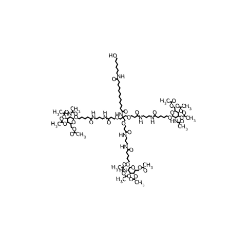 CC(=O)N[C@H]1C(OC(C)=O)[C@@H](OC(C)=O)C(COC(C)=O)O[C@H]1OCCCCC(=O)NCCCNC(=O)CCOCC(COCCC(=O)NCCCNC(=O)CCCCO[C@@H]1OC(COC(C)=O)[C@H](OC(C)=O)C(OC(C)=O)[C@@H]1NC(C)=O)(COCCC(=O)NCCCNC(=O)CCCCO[C@@H]1OC(COC(C)=O)[C@H](OC(C)=O)C(OC(C)=O)[C@@H]1NC(C)=O)NC(=O)CCCCCCCCCCC(=O)NCCCCCCO